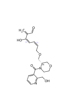 C=C(C=O)/C(O)=C\C=C/COC[C@@H]1COCCN1C(=O)c1cccnc1CO